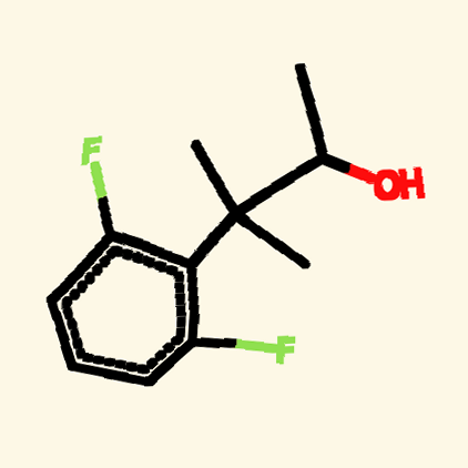 CC(O)C(C)(C)c1c(F)cccc1F